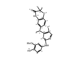 COc1cc(Nc2ncc(F)c(N(C)c3ccc4c(c3)NC(=O)C(C)(C)O4)n2)ccc1S